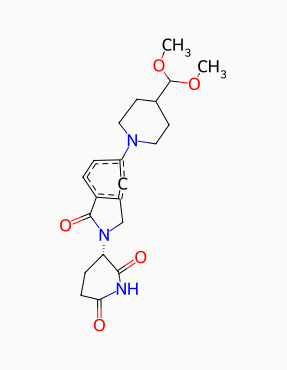 COC(OC)C1CCN(c2ccc3c(c2)CN([C@H]2CCC(=O)NC2=O)C3=O)CC1